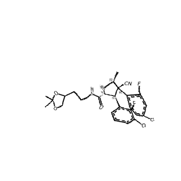 C[C@@H]1N[C@@H](C(=O)NCCC2COC(C)(C)O2)[C@H](c2cccc(Cl)c2F)[C@@]1(C#N)c1ccc(Cl)cc1F